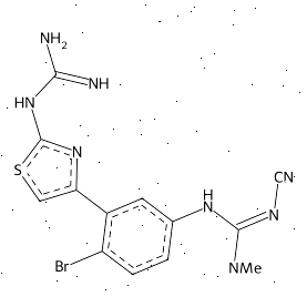 CN/C(=N/C#N)Nc1ccc(Br)c(-c2csc(NC(=N)N)n2)c1